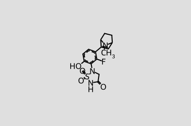 CN1C2C=C(c3ccc(O)c(N4CC(=O)NS4(=O)=O)c3F)C1CC2